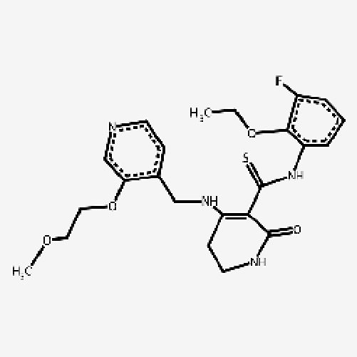 CCOc1c(F)cccc1NC(=S)C1=C(NCc2ccncc2OCCOC)CCNC1=O